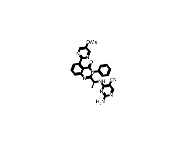 COc1cnc(-c2cccc3nc([C@H](C)Nc4nc(N)ncc4C#N)n(-c4ccccc4)c(=O)c23)nc1